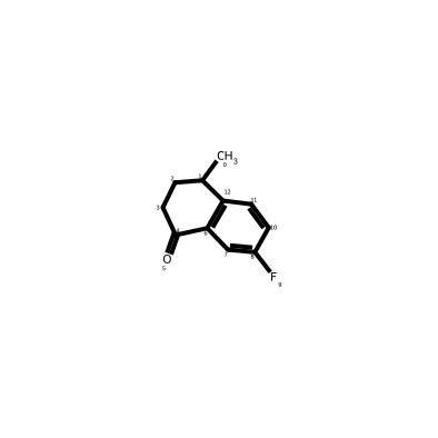 CC1CCC(=O)c2cc(F)ccc21